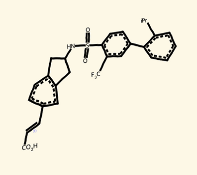 CC(C)c1ccccc1-c1ccc(S(=O)(=O)NC2Cc3ccc(/C=C/C(=O)O)cc3C2)c(C(F)(F)F)c1